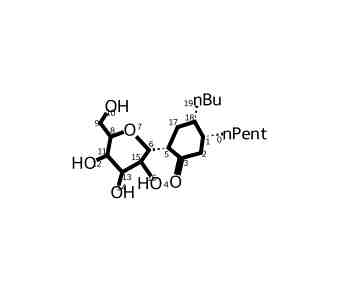 CCCCC[C@@H]1CC(=O)[C@H](C2OC(CO)C(O)C(O)C2O)C[C@@H]1CCCC